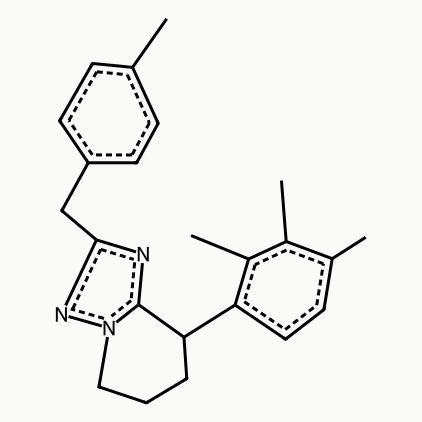 Cc1ccc(Cc2nc3n(n2)CCCC3c2ccc(C)c(C)c2C)cc1